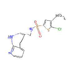 O=[N+]([O-])c1cc(S(=O)(=O)NCc2c[nH]c3ncccc23)sc1Cl